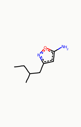 CCC(C)Cc1cc(N)on1